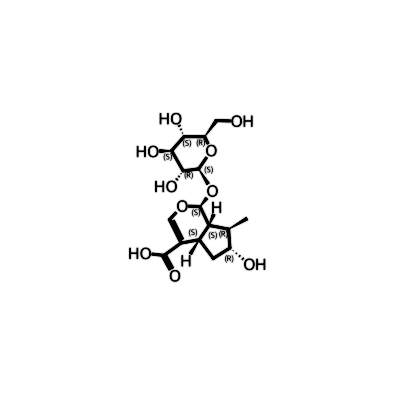 C[C@@H]1[C@H]2[C@H](O[C@@H]3O[C@H](CO)[C@@H](O)[C@H](O)[C@H]3O)OC=C(C(=O)O)[C@H]2C[C@H]1O